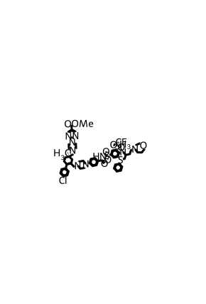 COC(=O)c1cnc(N2CCN(C[C@]3(C)CCC(c4ccc(Cl)cc4)=C(CN4CCN(c5ccc(C(=O)NS(=O)(=O)c6ccc(NC(CCN7CCCOCC7)CSc7ccccc7)c(S(=O)(=O)C(F)(F)F)c6)cc5)CC4)C3)CC2)nc1